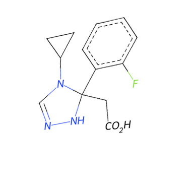 O=C(O)CC1(c2ccccc2F)NN=CN1C1CC1